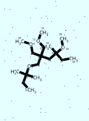 CCC(C)(C)OCC(COC)(COC)CC(C)(CC)OC